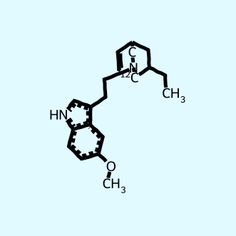 CCC1CC2C=C[12CH]1N(CCc1c[nH]c3ccc(OC)cc13)C2